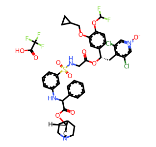 O=C(CNS(=O)(=O)c1cccc(NC(C(=O)O[C@H]2CN3CCC2CC3)c2ccccc2)c1)O[C@@H](Cc1c(Cl)c[n+]([O-])cc1Cl)c1ccc(OC(F)F)c(OCC2CC2)c1.O=C(O)C(F)(F)F